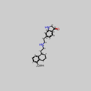 COc1cccc2c1CCCC2CCNCCc1ccc2c(c1)NCC2=O